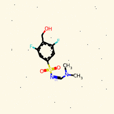 CN(C)/C=N\S(=O)(=O)c1cc(F)c(CO)c(F)c1